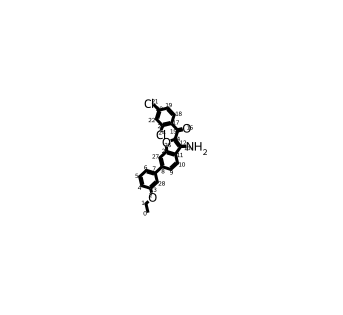 CCOc1cccc(-c2ccc3c(N)c(C(=O)c4ccc(Cl)cc4Cl)oc3c2)c1